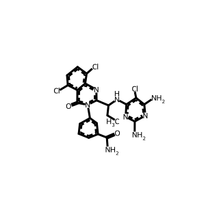 CCC(Nc1nc(N)nc(N)c1Cl)c1nc2c(Cl)ccc(Cl)c2c(=O)n1-c1cccc(C(N)=O)c1